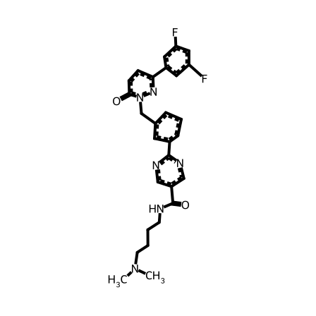 CN(C)CCCCNC(=O)c1cnc(-c2cccc(Cn3nc(-c4cc(F)cc(F)c4)ccc3=O)c2)nc1